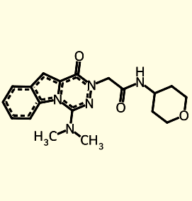 CN(C)c1nn(CC(=O)NC2CCOCC2)c(=O)c2cc3ccccc3n12